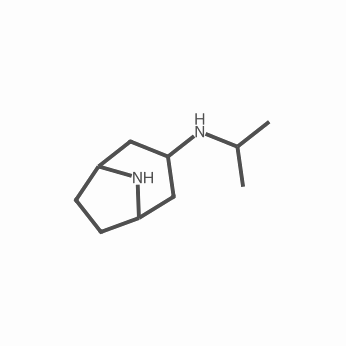 CC(C)NC1CC2CCC(C1)N2